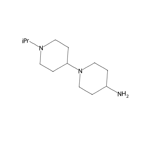 CC(C)N1CCC(N2CCC(N)CC2)CC1